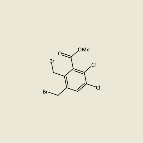 COC(=O)c1c(Cl)c(Cl)cc(CBr)c1CBr